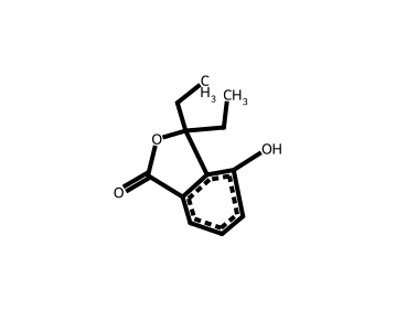 CCC1(CC)OC(=O)c2cccc(O)c21